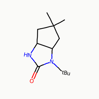 CC1(C)CC2NC(=O)N(C(C)(C)C)C2C1